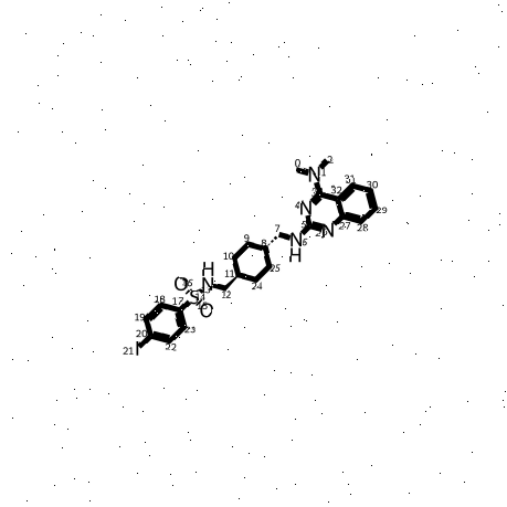 CN(C)c1nc(NC[C@H]2CC[C@H](CNS(=O)(=O)c3ccc(I)cc3)CC2)nc2ccccc12